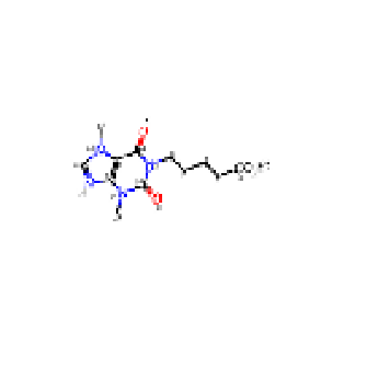 CCOC(=O)CCCCn1c(=O)c2c(ncn2C)n(C)c1=O